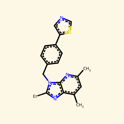 CCc1nc2c(C)cc(C)nc2n1Cc1ccc(-c2cncs2)cc1